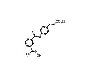 CCOC(=O)CCc1ccc(NC(=O)c2cccc(C(N)=NO)c2)cc1